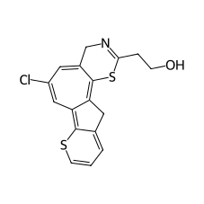 OCCC1=NCC2=CC(Cl)=CC3=C4SC=CC=C4CC3=C2S1